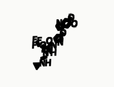 COc1cc2nccc(Oc3ccc(NC(=O)c4nn(CCNC5CC5)cc4OCC(F)(F)F)nc3)c2cc1OC